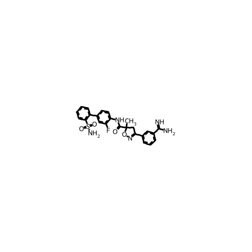 CC1(C(=O)Nc2ccc(-c3ccccc3S(N)(=O)=O)cc2F)CC(c2cccc(C(=N)N)c2)=NO1